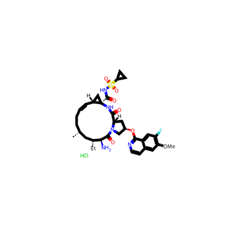 CC[C@@H]1C[C@H](C)CC/C=C\[C@@H]2C[C@@]2(C(=O)NS(=O)(=O)C2CC2)NC(=O)[C@@H]2C[C@@H](Oc3nccc4cc(OC)c(F)cc34)CN2C(=O)[C@H]1N.Cl